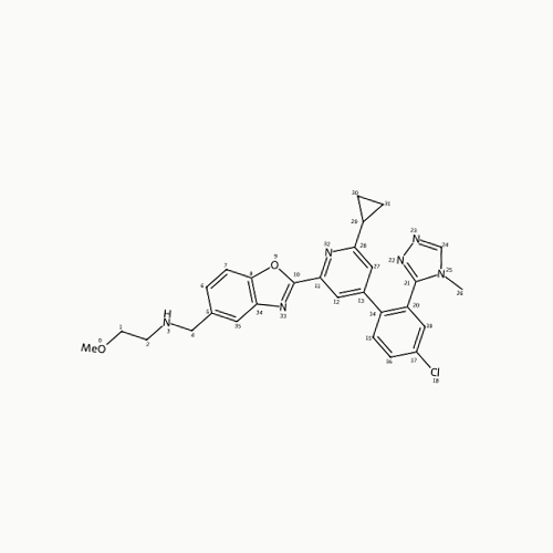 COCCNCc1ccc2oc(-c3cc(-c4ccc(Cl)cc4-c4nncn4C)cc(C4CC4)n3)nc2c1